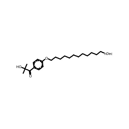 CCCCCCCCCCCCCCCCCCCCCCOc1ccc(C(=O)C(C)(C)O)cc1